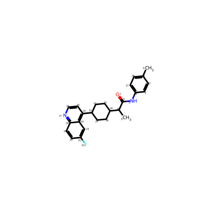 Cc1ccc(NC(=O)C(C)C2CCC(c3ccnc4ccc(F)cc34)CC2)cc1